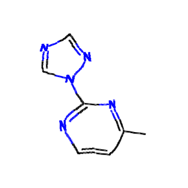 Cc1ccnc(-n2cncn2)n1